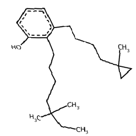 CCC(C)(C)CCCCc1c(O)cccc1CCCCC1(C)CC1